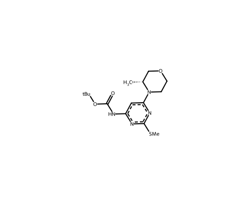 CSc1nc(NC(=O)OC(C)(C)C)cc(N2CCOC[C@H]2C)n1